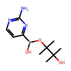 CC(C)(O)C(C)(C)OB(O)c1ccnc(N)n1